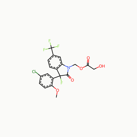 COc1ccc(Cl)cc1C1(F)C(=O)N(COC(=O)CO)c2cc(C(F)(F)F)ccc21